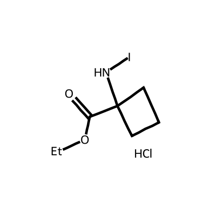 CCOC(=O)C1(NI)CCC1.Cl